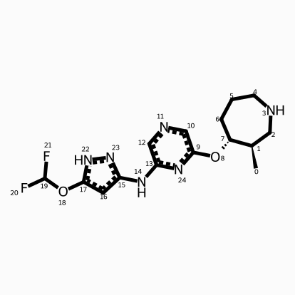 C[C@@H]1CNCCC[C@H]1Oc1cncc(Nc2cc(OC(F)F)[nH]n2)n1